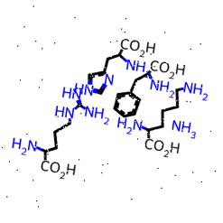 N.N=C(N)NCCCC(N)C(=O)O.NC(Cc1c[nH]cn1)C(=O)O.NC(Cc1ccccc1)C(=O)O.NCCCCC(N)C(=O)O